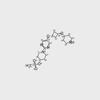 CS(=O)(=O)OC1CCN(c2ncc(O[C@H]3C[C@H](OC4CCNCC4)C3)cn2)CC1